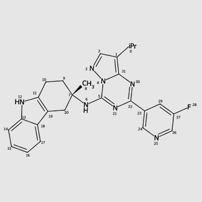 CC(C)c1cnn2c(N[C@@]3(C)CCc4[nH]c5ccccc5c4C3)nc(-c3cncc(F)c3)nc12